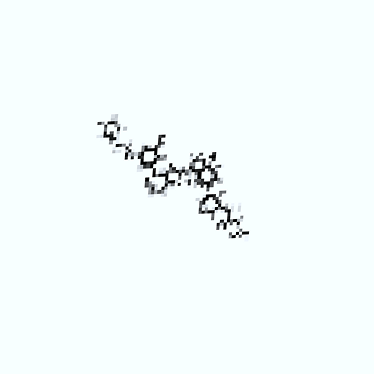 CC(C)CC(=O)Nc1cncc(-c2ccc3[nH]nc(-c4nc5c(-c6cc(F)cc(OCCN7CCCC7)c6)nccc5[nH]4)c3n2)c1